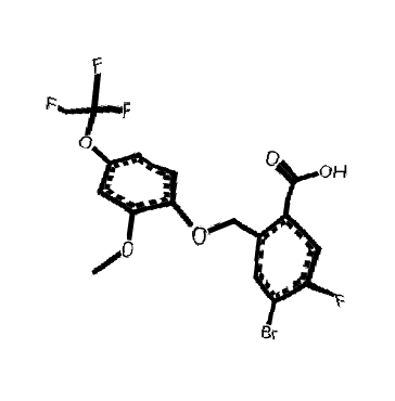 COc1cc(OC(F)(F)F)ccc1OCc1cc(Br)c(F)cc1C(=O)O